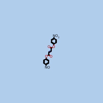 O=Nc1ccc(OC(=O)/C=C/C(=O)Oc2ccc([N+](=O)[O-])cc2)cc1